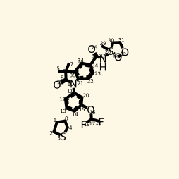 C1CCSC1.CC1(C)C(=O)N(c2cccc(OC(F)F)c2)c2ccc(C(=O)NS3(C)CCOO3)cc21